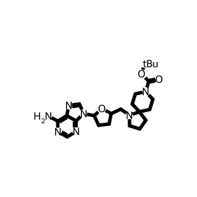 CC(C)(C)OC(=O)N1CCC2(CCCN2CC2CCC(n3cnc4c(N)ncnc43)O2)CC1